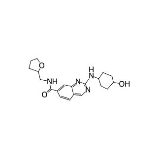 O=C(NCC1CCCO1)c1ccc2cnc(NC3CCC(O)CC3)nc2c1